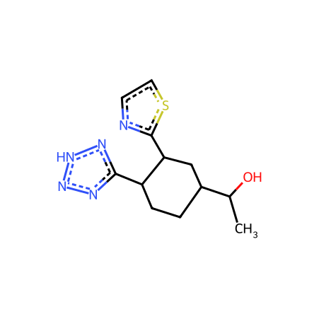 CC(O)C1CCC(c2nn[nH]n2)C(c2nccs2)C1